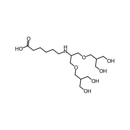 O=C(O)CCCCCNC(COCC(CO)CO)COCC(CO)CO